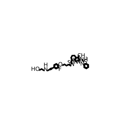 Cc1c(Nc2nc3ccccc3s2)nnc2c1CCCN2c1ncc(CCCOc2ccc(C#CCNCCCO)cc2F)s1